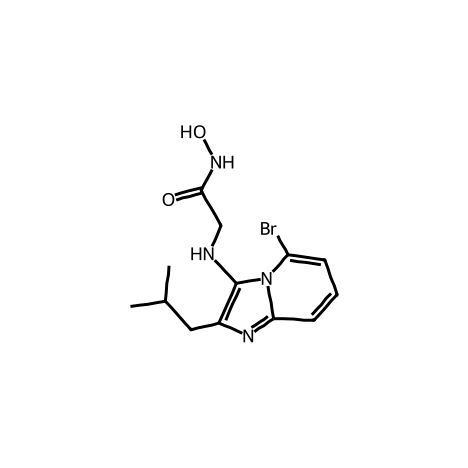 CC(C)Cc1nc2cccc(Br)n2c1NCC(=O)NO